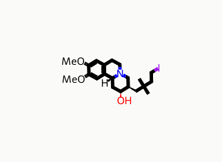 COc1cc2c(cc1OC)[C@H]1C[C@@H](O)[C@H](CC(C)(C)CCI)CN1CC2